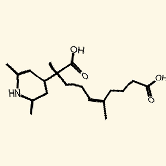 CC(CCCC(=O)O)CCCC(C)(C(=O)O)C1CC(C)NC(C)C1